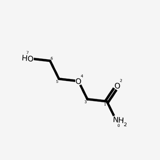 NC(=O)COCCO